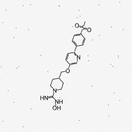 CS(=O)(=O)c1ccc(-c2ccc(OCC3CCN(C(=N)NO)CC3)cn2)cc1